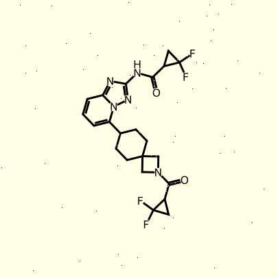 O=C(Nc1nc2cccc(C3CCC4(CC3)CN(C(=O)C3CC3(F)F)C4)n2n1)C1CC1(F)F